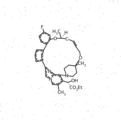 CCOC(=O)[C@@H](O)c1c(C)cn2cc3nc2c1N1CCC(C)(CC1)OC/C=C/C[C@H](C)Oc1cc(F)ccc1-c1cccc-3c1